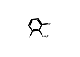 O=C(O)c1c(F)cccc1S